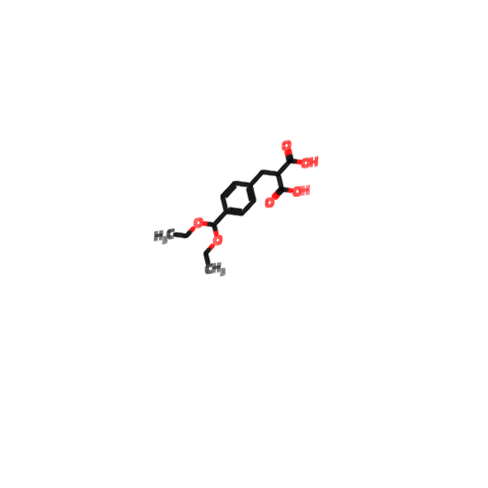 CCOC(OCC)c1ccc(CC(C(=O)O)C(=O)O)cc1